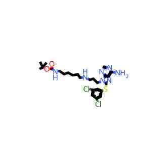 CC(C)(C)OC(=O)NCCCCCCNCCCn1c(Sc2cc(Cl)cc(Cl)c2)nc2c(N)ncnc21